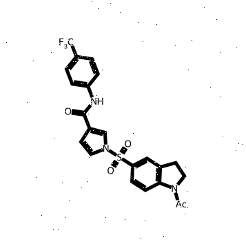 CC(=O)N1CCc2cc(S(=O)(=O)n3ccc(C(=O)Nc4ccc(C(F)(F)F)cc4)c3)ccc21